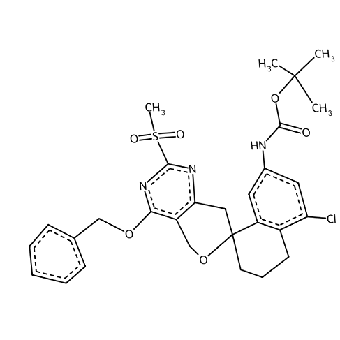 CC(C)(C)OC(=O)Nc1cc(Cl)c2c(c1)C1(CCC2)Cc2nc(S(C)(=O)=O)nc(OCc3ccccc3)c2CO1